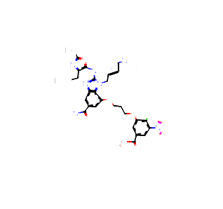 CCc1nc(C)oc1Nc1nc2cc(C(N)=O)cc(OCCCOc3cc(C(=O)OC)cc([N+](=O)[O-])c3Cl)c2n1C/C=C/CN